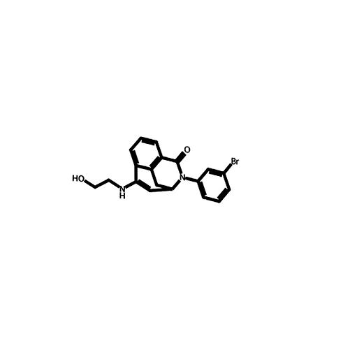 O=C1c2cccc3c2CC(C=C3NCCO)N1c1cccc(Br)c1